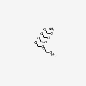 ClCCl.ClCCl.ClCCl.ClCCl.ClCCl.N.N